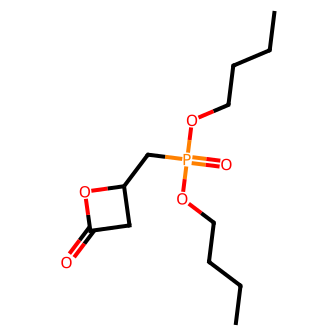 CCCCOP(=O)(CC1CC(=O)O1)OCCCC